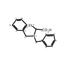 CCC(C(=O)O)N(Cc1ccccc1)Cc1ccccc1